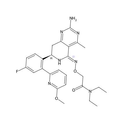 CCN(CC)C(=O)CO/N=C1\N[C@@H](c2ccc(F)cc2-c2cccc(OC)n2)Cc2nc(N)nc(C)c21